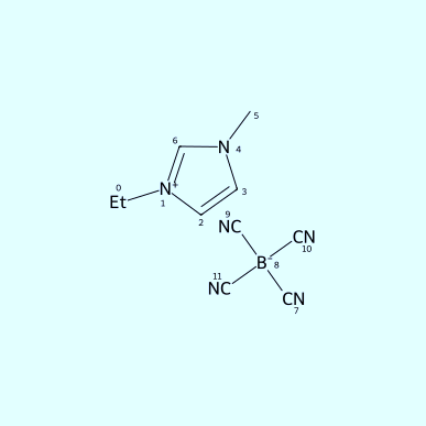 CC[n+]1ccn(C)c1.N#C[B-](C#N)(C#N)C#N